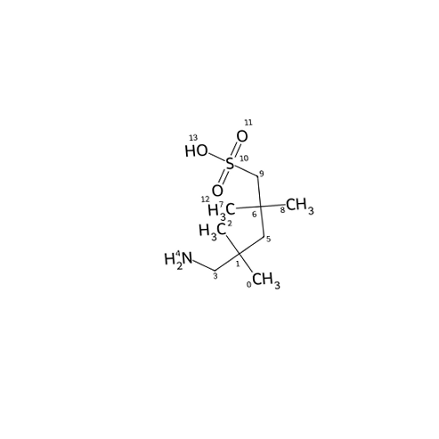 CC(C)(CN)CC(C)(C)CS(=O)(=O)O